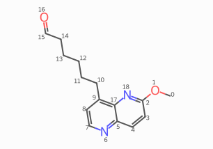 COc1ccc2nccc(CCCCCC=O)c2n1